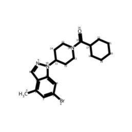 Cc1cc(Br)cc2c1cnn2C1CCN(C(=O)C2CCCCC2)CC1